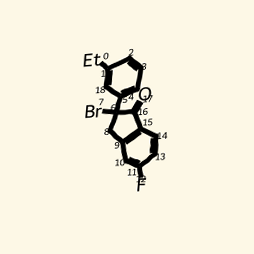 CCc1cccc(C2(Br)Cc3cc(F)ccc3C2=O)c1